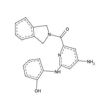 Nc1cc(Nc2ccccc2O)nc(C(=O)N2Cc3ccccc3C2)c1